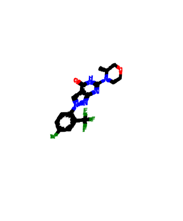 CC1COCCN1c1nc2nn(-c3ccc(Br)cc3C(F)(F)F)cc2c(=O)[nH]1